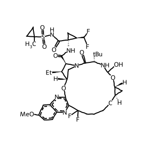 CC[C@@H]1[C@@H]2CN(C(=O)[C@H](C(C)(C)C)NC(O)O[C@@H]3C[C@H]3CCCCC(F)(F)c3nc4ccc(OC)cc4nc3O2)[C@@H]1C(=O)N[C@]1(C(=O)NS(=O)(=O)C2(C)CC2)C[C@H]1C(F)F